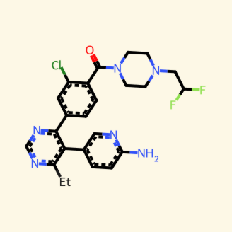 CCc1ncnc(-c2ccc(C(=O)N3CCN(CC(F)F)CC3)c(Cl)c2)c1-c1ccc(N)nc1